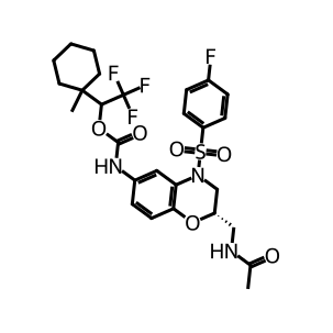 CC(=O)NC[C@H]1CN(S(=O)(=O)c2ccc(F)cc2)c2cc(NC(=O)OC(C(F)(F)F)C3(C)CCCCC3)ccc2O1